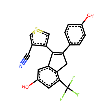 N#Cc1cscc1C1=C(c2ccc(O)cc2)Cc2c1cc(O)cc2C(F)(F)F